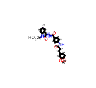 O=C(O)CN1C(=O)C(=NNC(=O)c2ccc(NC(=O)CCc3ccc4c(c3)OCO4)cc2)c2cc(I)ccc21